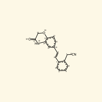 N#CCc1ccccc1C=Cc1ccc2c(c1)NC(=O)CO2